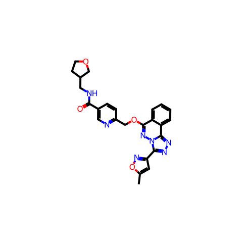 Cc1cc(-c2nnc3c4ccccc4c(OCc4ccc(C(=O)NCC5CCOC5)cn4)nn23)no1